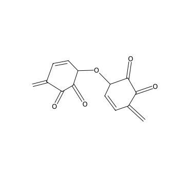 C=C1C=CC(OC2C=CC(=C)C(=O)C2=O)C(=O)C1=O